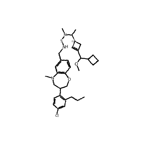 CCCc1cc(Cl)ccc1C1COc2ccc(CNSN(C)C(C)[C@@H]3C=C(C(OC)C4CCC4)C3)cc2N(C)C1